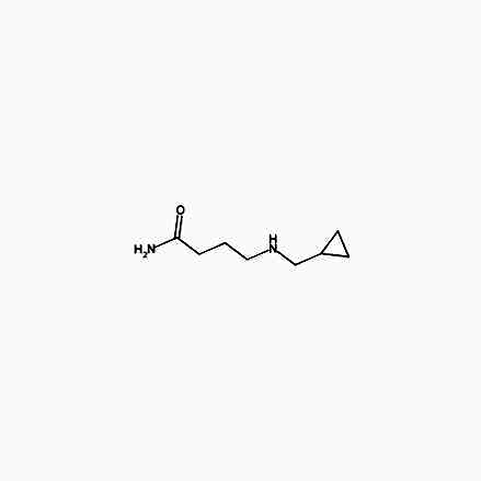 NC(=O)CCCNCC1CC1